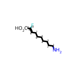 NCCCCCCCC=C(F)C(=O)O